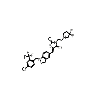 O=C1S/C(=C\c2ccc3c(cnn3Cc3ccc(Cl)cc3C(F)(F)F)c2)C(=O)N1CCN1CCC(F)(F)C1